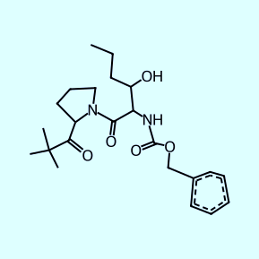 CCCC(O)C(NC(=O)OCc1ccccc1)C(=O)N1CCCC1C(=O)C(C)(C)C